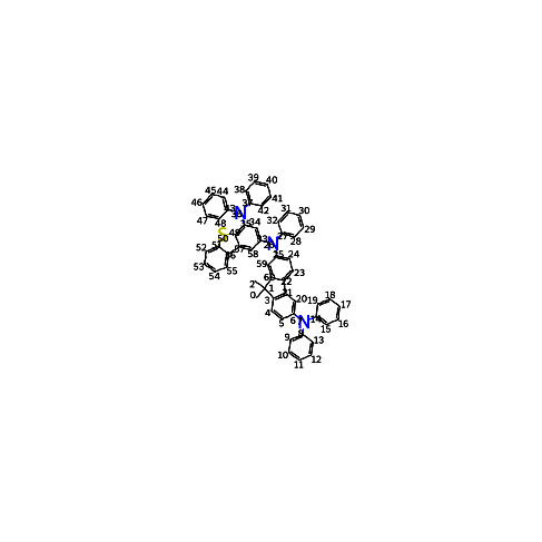 CC1(C)c2ccc(N(c3ccccc3)c3ccccc3)cc2-c2ccc(N(c3ccccc3)c3cc(N(c4ccccc4)c4ccccc4)c4sc5ccccc5c4c3)cc21